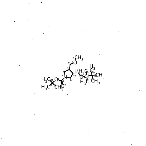 COC[C@@H]1CN(C(=O)OC(C)(C)C)C[C@H]1CO[Si](C)(C)C(C)(C)C